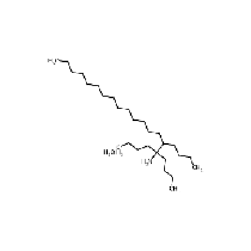 CCCCCCCCCCCCCCC(CCCC)C(N)(CCCC)CCCC.O